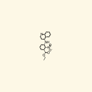 CCOC(=O)c1cccc(Nc2ccnc3ccccc23)c1[N+](=O)[O-]